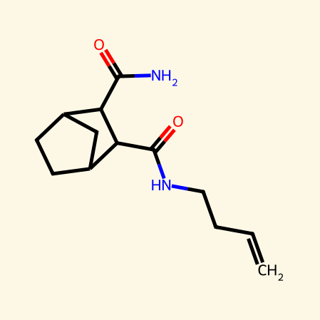 C=CCCNC(=O)C1C2CCC(C2)C1C(N)=O